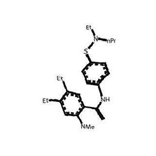 C=C(Nc1ccc(SN(CC)CCC)cc1)c1cc(CC)c(CC)cc1NC